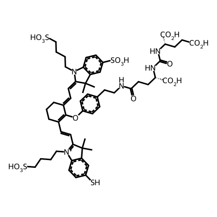 CC1(C)C(/C=C/C2=C(Oc3ccc(CCNC(=O)CC[C@H](NC(=O)N[C@@H](CCC(=O)O)C(=O)O)C(=O)O)cc3)C(=C/C=C3/N(CCCCS(=O)(=O)O)c4ccc(S(=O)(=O)O)cc4C3(C)C)/CCC2)=[N+](CCCCS(=O)(=O)O)c2ccc(S)cc21